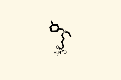 CCN(CCCCS(N)(=O)=O)Cc1cccc(C)c1